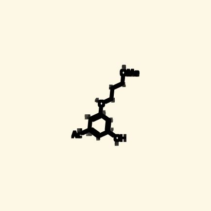 COCCCOc1cc(O)cc(C(C)=O)c1